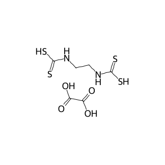 O=C(O)C(=O)O.S=C(S)NCCNC(=S)S